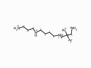 CC(=O)C(CN)(CNCCCCNCCCN)C(C)=O